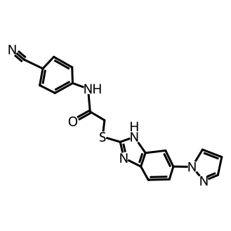 N#Cc1ccc(NC(=O)CSc2nc3ccc(-n4cccn4)cc3[nH]2)cc1